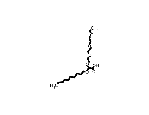 CCCCCCCCCCOC(OCCOCCOCCOCC)C(=O)O